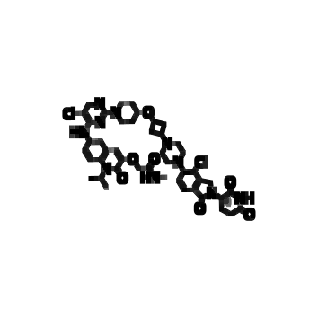 CNC(=O)COc1cc2cc(Nc3nc(N4CCC(OC5CC(N6CCN(c7ccc8c(c7Cl)CN([C@@H]7CCC(=O)NC7=O)C8=O)CC6)C5)CC4)ncc3Cl)ccc2n(C(C)C)c1=O